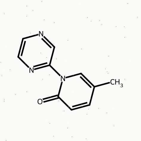 Cc1ccc(=O)n(-c2cnccn2)c1